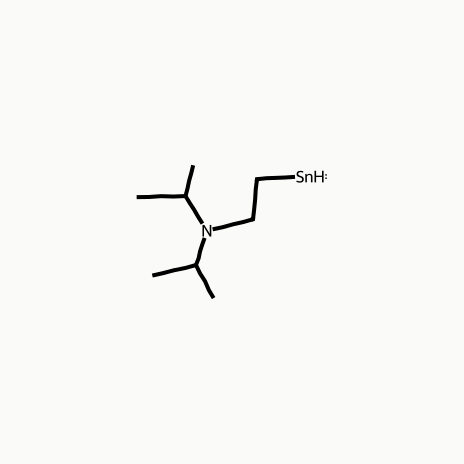 CC(C)N(C[CH2][SnH])C(C)C